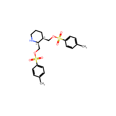 Cc1ccc(S(=O)(=O)OC[C@@H]2CCCN[C@@H]2COS(=O)(=O)c2ccc(C)cc2)cc1